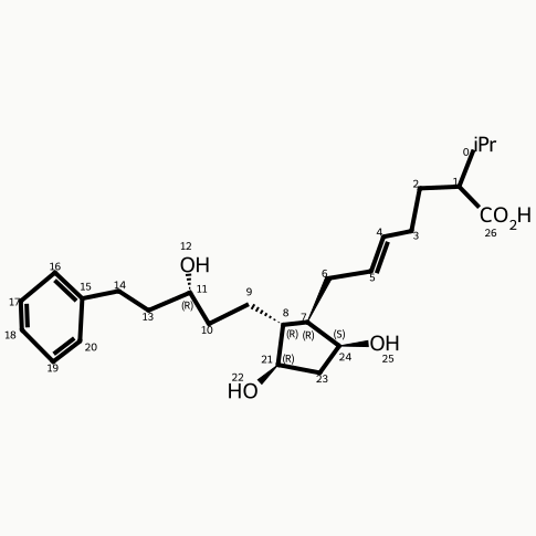 CC(C)C(CCC=CC[C@@H]1[C@@H](CC[C@@H](O)CCc2ccccc2)[C@H](O)C[C@@H]1O)C(=O)O